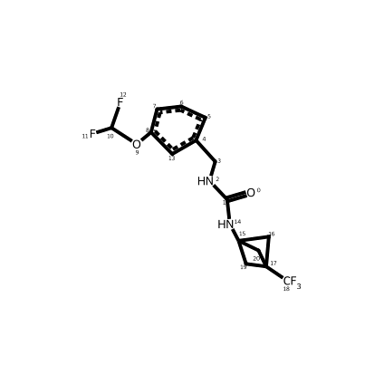 O=C(NCc1cccc(OC(F)F)c1)NC12CC(C(F)(F)F)(C1)C2